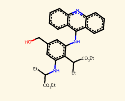 CCOC(=O)C(CC)Nc1cc(CO)cc(Nc2c3ccccc3nc3ccccc23)c1C(CC)C(=O)OCC